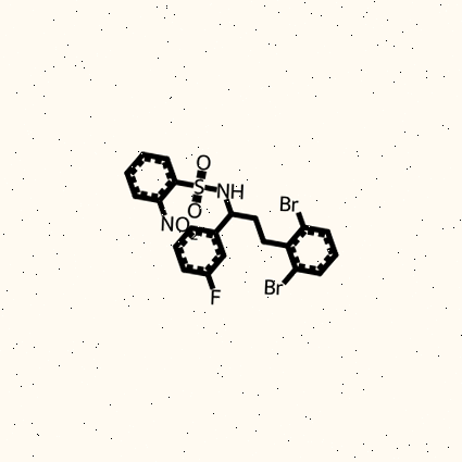 O=[N+]([O-])c1ccccc1S(=O)(=O)NC(CCc1c(Br)cccc1Br)c1cccc(F)c1